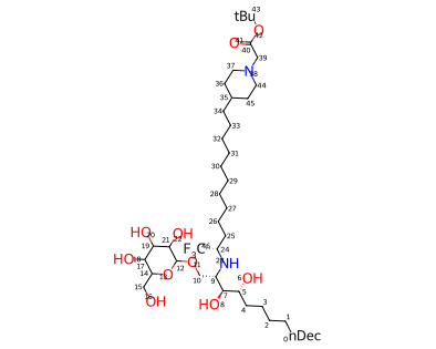 CCCCCCCCCCCCCC[C@@H](O)[C@@H](O)[C@H](COC1OC(CO)C(O)C(O)C1O)N[C@@H](CCCCCCCCCCC1CCN(CC(=O)OC(C)(C)C)CC1)C(F)(F)F